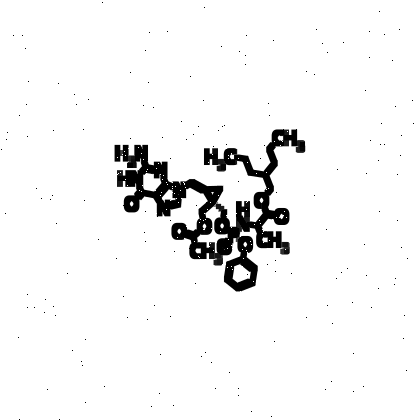 CCCC(CCC)COC(=O)C(C)NP(=O)(OC[C@@]1(COC(C)=O)C/C1=C/n1cnc2c(=O)[nH]c(N)nc21)Oc1ccccc1